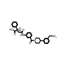 NCc1cccc(C2CCN(C(=O)c3cccc(NC(=O)C[C@](O)(C(=O)O)c4ccccc4)c3)CC2)c1